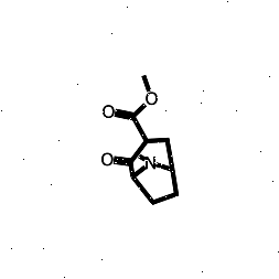 COC(=O)C1CC2CCC(C1=O)N2C